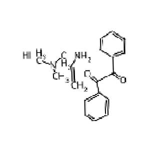 C=CN.CN(C)C.I.O=C(C(=O)c1ccccc1)c1ccccc1